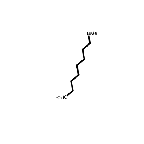 CNCCCCCCC[C]=O